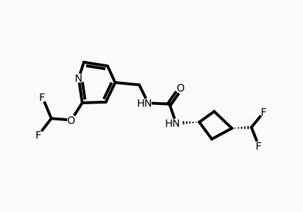 O=C(NCc1ccnc(OC(F)F)c1)N[C@H]1C[C@@H](C(F)F)C1